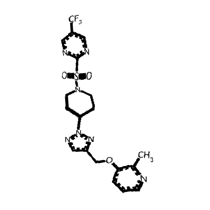 Cc1ncccc1OCc1cnn(C2CCN(S(=O)(=O)c3ncc(C(F)(F)F)cn3)CC2)n1